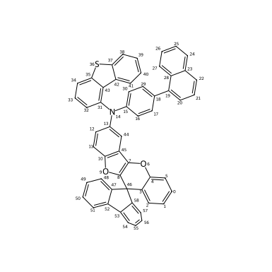 c1ccc2c(c1)Oc1c(oc3ccc(N(c4ccc(-c5cccc6ccccc56)cc4)c4cccc5sc6ccccc6c45)cc13)C21c2ccccc2-c2ccccc21